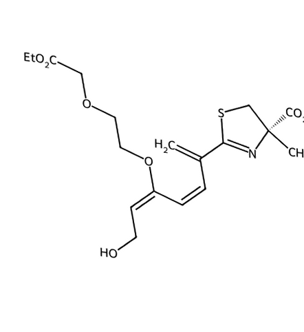 C=C(/C=C\C(=C/CO)OCCOCC(=O)OCC)C1=N[C@@](C)(C(=O)OCC)CS1